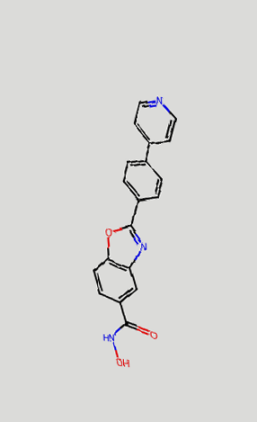 O=C(NO)c1ccc2oc(-c3ccc(-c4ccncc4)cc3)nc2c1